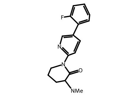 CNC1CCCN(c2ccc(-c3ccccc3F)cn2)C1=O